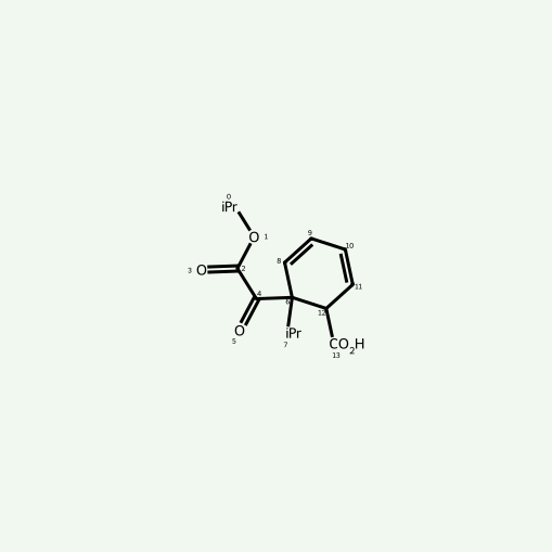 CC(C)OC(=O)C(=O)C1(C(C)C)C=CC=CC1C(=O)O